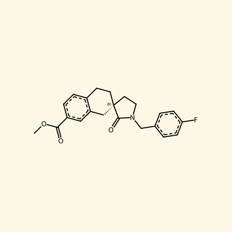 COC(=O)c1ccc2c(c1)C[C@]1(CC2)CCN(Cc2ccc(F)cc2)C1=O